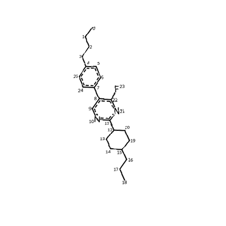 CCCCc1ccc(-c2cnc(C3CCC(CCC)CC3)nc2F)cc1